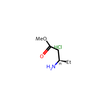 CC[C@@H](N)CC(=O)OC.Cl